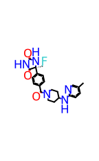 Cc1ccc(NC2CCN(C(=O)c3ccc([C@]4(CF)NC(=O)NC4=O)cc3)CC2)nc1